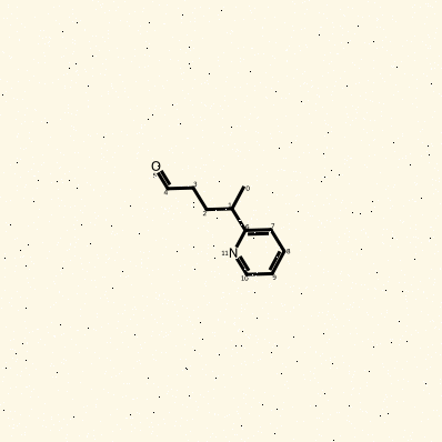 CC(CCC=O)c1ccccn1